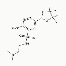 COc1ncc(B2OC(C)(C)C(C)(C)O2)cc1S(=O)(=O)NCCN(C)C